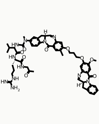 COc1cc2c(cc1OCCCOc1cc3c(cc1C)C(=O)N1c4ccc(N(C)C(=O)N[C@H](C(=O)N[C@@H](CCCNC(=N)N)C(=O)NCC(C)=O)C(C)C)cc4C[C@H]1C=N3)N=C[C@@H]1Cc3ccccc3N1C2=O